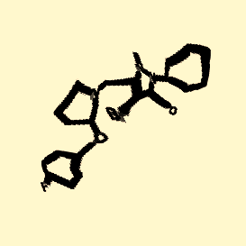 Cn1c(CN2CCCC(Oc3ccc(F)cc3)C2)c(Br)c(=O)n1-c1ccccc1